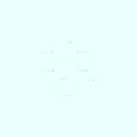 CN(C)CC(=O)c1ccccc1.O=C(O)/C=C\C(=O)O